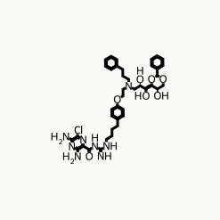 N=C(NCCCCc1ccc(OCCN(CCCc2ccccc2)C[C@H](O)/C(O)=C2\OC(c3ccccc3)OC[C@H]2O)cc1)NC(=O)c1nc(Cl)c(N)nc1N